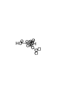 COCC(=O)N[C@@H](Cc1ccc(-c2cc(Cl)cc(Cl)c2)cc1)C(O)C(O)C(=O)CCCC(=O)O